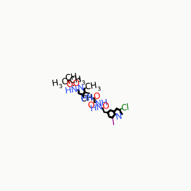 Cc1cc(NC(=O)OC(C)(C)C)nc(C)c1CNC(=O)C(=O)NNC(=O)Cc1cc(I)c2ncc(Cl)cc2c1